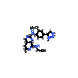 COc1cc(-c2cnnn2C)ccc1Nc1ncc2cc(C)nc(NCC(C)(C)C)c2n1